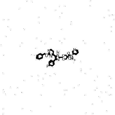 CC1(C(=O)Nc2cccnc2)COC(c2nc(-c3ccc(F)cc3)c(-c3ccnc(OCc4ccccc4)n3)[nH]2)OC1